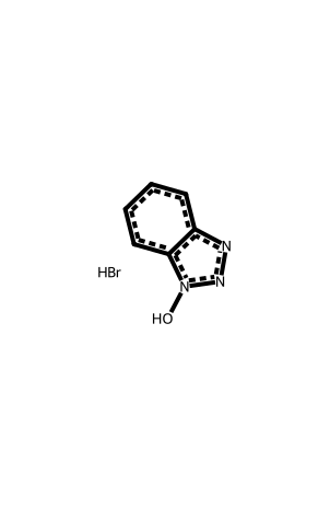 Br.On1nnc2ccccc21